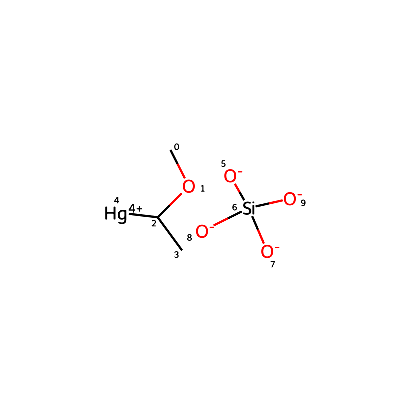 CO[CH](C)[Hg+4].[O-][Si]([O-])([O-])[O-]